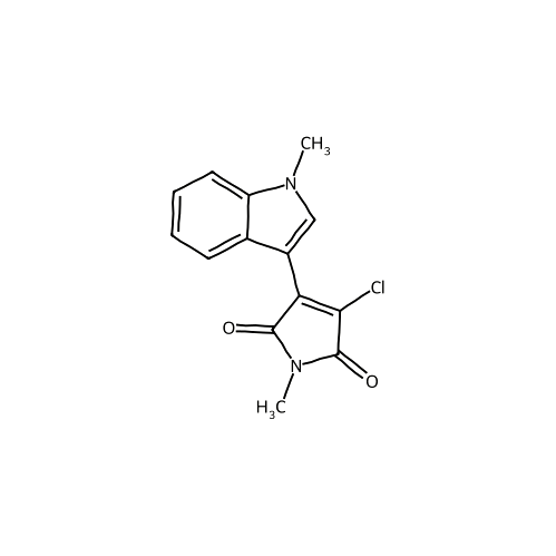 CN1C(=O)C(Cl)=C(c2cn(C)c3ccccc23)C1=O